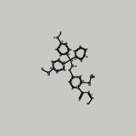 C=C(/C=C\C)c1ccc(COC(c2ccccc2)(c2ccc(OC)cc2)c2ccc(OC)cc2)cc1OO